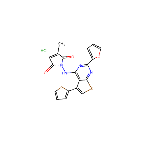 CC1=CC(=O)N(Nc2nc(-c3ccco3)nc3scc(-c4cccs4)c23)C1=O.Cl